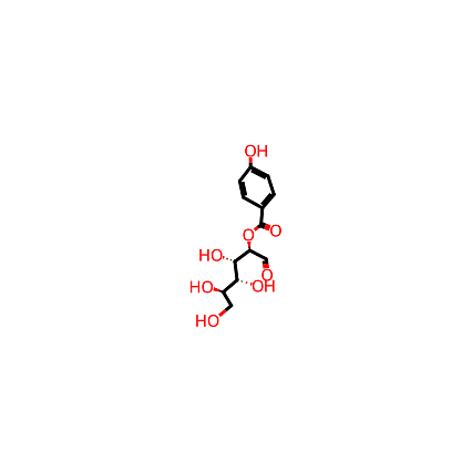 O=C[C@H](OC(=O)c1ccc(O)cc1)[C@@H](O)[C@H](O)[C@H](O)CO